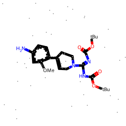 COc1cc(N)ccc1C1=CCN(/C(=N\C(=O)OC(C)(C)C)NC(=O)OC(C)(C)C)CC1